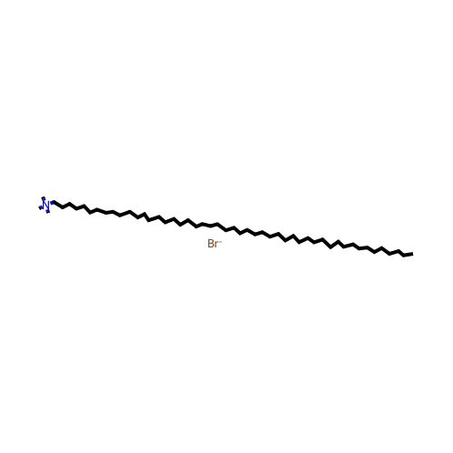 CCCCCCCCCCCCCCCCCCCCCCCCCCCCCCCCCCCCCCCCCCCCCCCCC[N+](C)(C)C.[Br-]